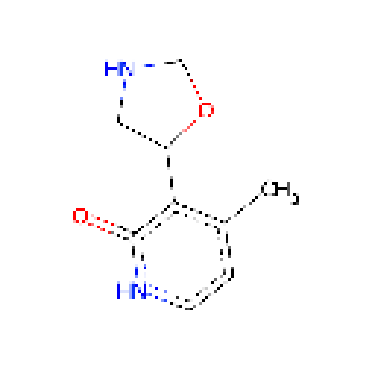 Cc1cc[nH]c(=O)c1C1CNCO1